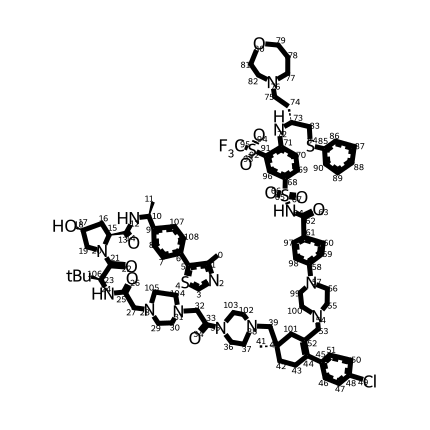 Cc1ncsc1-c1ccc([C@H](C)NC(=O)[C@@H]2C[C@@H](O)CN2C(=O)[C@@H](NC(=O)CN2CCN(CC(=O)N3CCN(C[C@]4(C)CCC(c5ccc(Cl)cc5)=C(CN5CCN(c6ccc(C(=O)NS(=O)(=O)c7ccc(N[C@H](CCN8CCCOCC8)CSc8ccccc8)c(S(=O)(=O)C(F)(F)F)c7)cc6)CC5)C4)CC3)CC2)C(C)(C)C)cc1